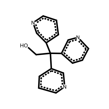 OCC(c1cccnc1)(c1cccnc1)c1cccnc1